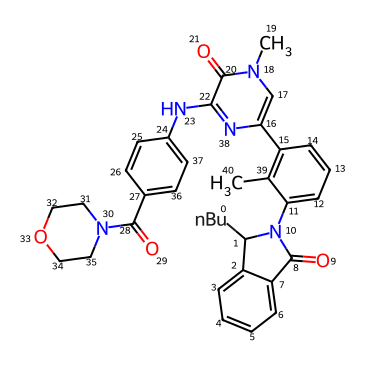 CCCCC1c2ccccc2C(=O)N1c1cccc(-c2cn(C)c(=O)c(Nc3ccc(C(=O)N4CCOCC4)cc3)n2)c1C